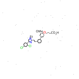 CCn1cc(-c2ccc(Cl)cc2Cl)nc1C=Cc1cccc(C2=CCC(OC)(OCCCC(=O)O)C=C2)c1